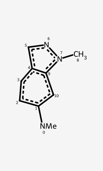 CNc1ccc2cnn(C)c2c1